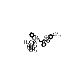 Cc1ccc(S(=O)(=O)n2cc(CCN(Cc3ccccc3)c3nc(C(=O)NS(C)(=O)=O)c(C)s3)c3ccccc32)cc1